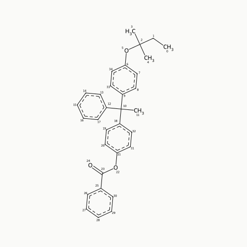 CCC(C)(C)Oc1ccc(C(C)(c2ccccc2)c2ccc(OC(=O)c3ccccc3)cc2)cc1